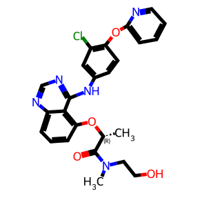 C[C@@H](Oc1cccc2ncnc(Nc3ccc(Oc4ccccn4)c(Cl)c3)c12)C(=O)N(C)CCO